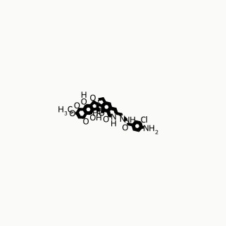 COC1=CC(=O)c2c(O)c3c(c(O)c2C1=O)C(=O)[C@]1(CCc2cc4cc(C=NNC(=O)c5ccc(N)c(Cl)c5)[nH]c(=O)c4c(O)c21)C3=O